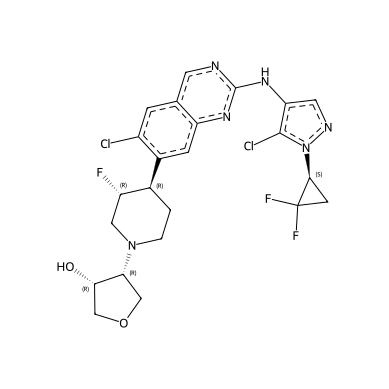 O[C@H]1COC[C@H]1N1CC[C@H](c2cc3nc(Nc4cnn([C@H]5CC5(F)F)c4Cl)ncc3cc2Cl)[C@@H](F)C1